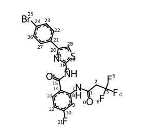 O=C(CC(F)(F)F)Nc1cc(F)ccc1C(=O)Nc1nc(-c2ccc(Br)cc2)cs1